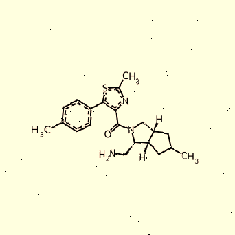 Cc1ccc(-c2sc(C)nc2C(=O)N2C[C@@H]3CC(C)C[C@@H]3[C@H]2CN)cc1